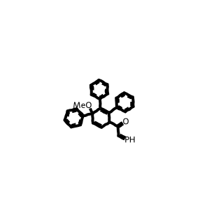 COC1(c2ccccc2)C=CC(C(=O)C=P)C(c2ccccc2)=C1c1ccccc1